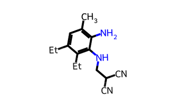 CCc1cc(C)c(N)c(NCC(C#N)C#N)c1CC